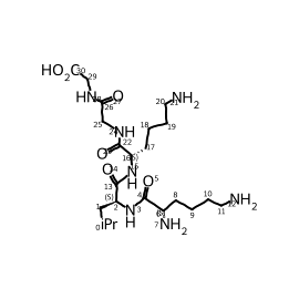 CC(C)C[C@H](NC(=O)[C@@H](N)CCCCN)C(=O)N[C@@H](CCCCN)C(=O)NCC(=O)NCC(=O)O